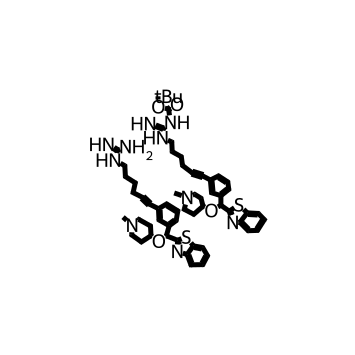 CN1CCC(OC(c2cccc(C#CCCCCNC(=N)N)c2)c2nc3ccccc3s2)CC1.CN1CCC(OC(c2cccc(C#CCCCCNC(=N)NC(=O)OC(C)(C)C)c2)c2nc3ccccc3s2)CC1